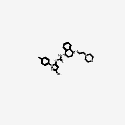 Cc1ccc(-n2nc(C(C)(C)C)cc2NC(=O)N[C@H]2CC[C@@H](OCCN3CCOCC3)c3ccccc32)cc1